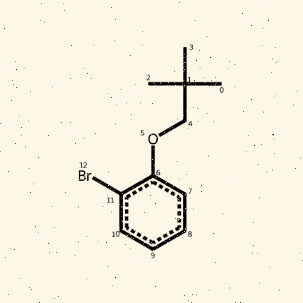 CC(C)(C)COc1ccccc1Br